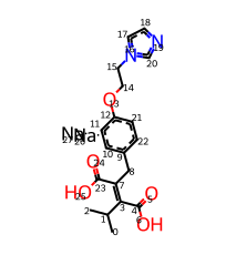 CC(C)C(C(=O)O)=C(Cc1ccc(OCCn2ccnc2)cc1)C(=O)O.[Na].[Na]